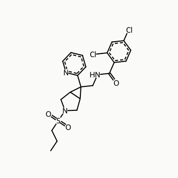 CCCS(=O)(=O)N1CC2C(C1)C2(CNC(=O)c1ccc(Cl)cc1Cl)c1ccccn1